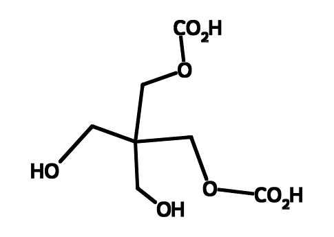 O=C(O)OCC(CO)(CO)COC(=O)O